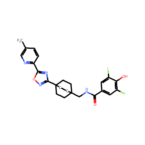 O=C(NCC12CCC(c3noc(-c4ccc(C(F)(F)F)cn4)n3)(CC1)CC2)c1cc(F)c(O)c(F)c1